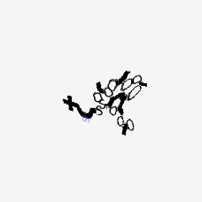 CC(=O)OCC1O[C@@H](SSC/C=C\CC(C)(C)C)C(OC(C)=O)C(OC(C)=O)[C@@H]1OC(C)=O